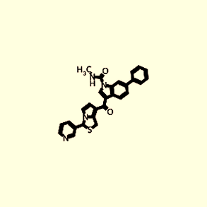 CNC(=O)n1cc(C(=O)c2ccn3c2CSC3c2cccnc2)c2ccc(-c3ccccc3)cc21